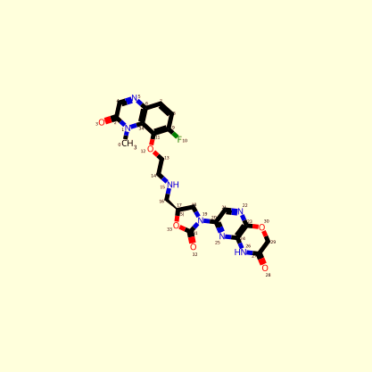 Cn1c(=O)cnc2ccc(F)c(OCCNC[C@H]3CN(c4cnc5c(n4)NC(=O)CO5)C(=O)O3)c21